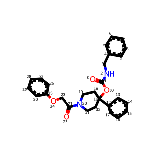 O=C(NCc1ccccc1)OC1(c2ccccc2)CCN(C(=O)COc2ccccc2)CC1